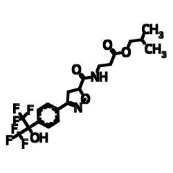 CC(C)COC(=O)CCNC(=O)C1CC(c2ccc(C(O)(C(F)(F)F)C(F)(F)F)cc2)=NO1